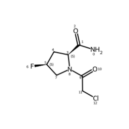 NC(=O)[C@@H]1C[C@H](F)CN1C(=O)CCl